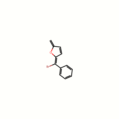 C=c1cc/c(=C(/Br)c2ccccc2)o1